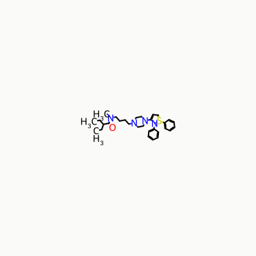 CCC(CC)C(=O)N(C)CCCCN1CCN(C2=CC=S(c3ccccc3)N2c2ccccc2)CC1